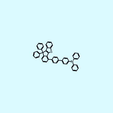 c1ccc(N(c2ccccc2)c2ccc(-c3ccc(-c4cccc5c4-c4sc6ccccc6c4C5(c4ccccc4)c4ccccc4)cc3)cc2)cc1